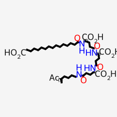 CC(=O)[C@@H](C)CCCCNC(=O)CCC(NC(=O)CC[C@H](NC(=O)CC[C@H](NC(=O)CCCCCCCCCCCCCCC(=O)O)C(=O)O)C(=O)O)C(=O)O